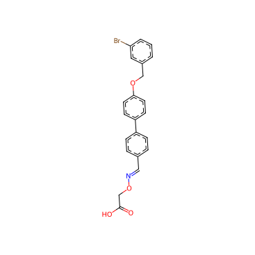 O=C(O)CO/N=C/c1ccc(-c2ccc(OCc3cccc(Br)c3)cc2)cc1